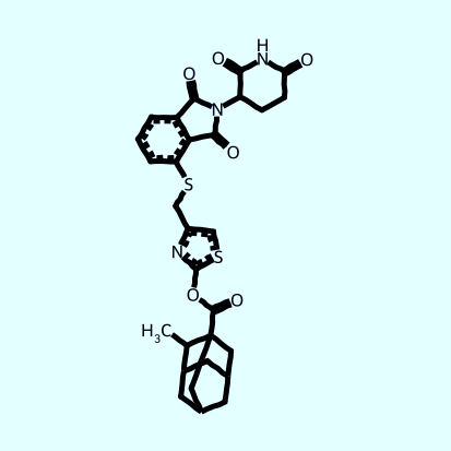 CC1C2CC3CC(C2)CC1(C(=O)Oc1nc(CSc2cccc4c2C(=O)N(C2CCC(=O)NC2=O)C4=O)cs1)C3